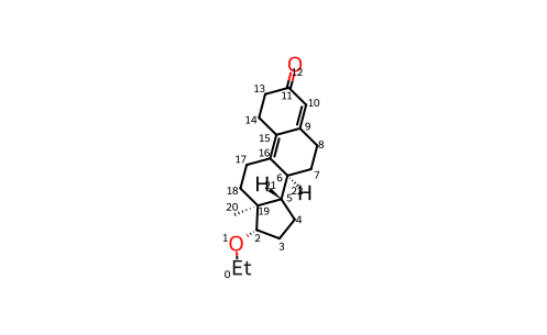 CCO[C@H]1CC[C@H]2[C@@H]3CCC4=CC(=O)CCC4=C3CC[C@]12C